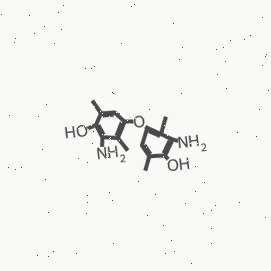 Cc1cc(Oc2cc(C)c(O)c(N)c2C)c(C)c(N)c1O